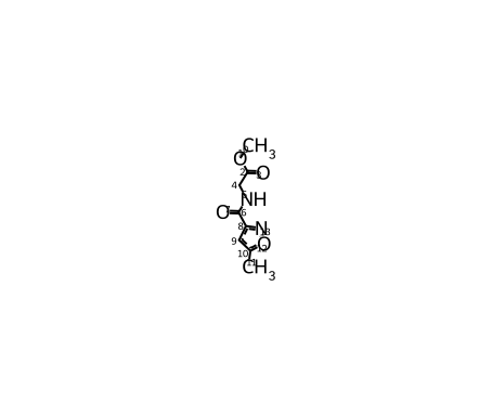 COC(=O)CNC(=O)c1cc(C)on1